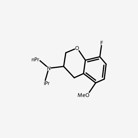 CCCN(C(C)C)C1COc2c(F)ccc(OC)c2C1